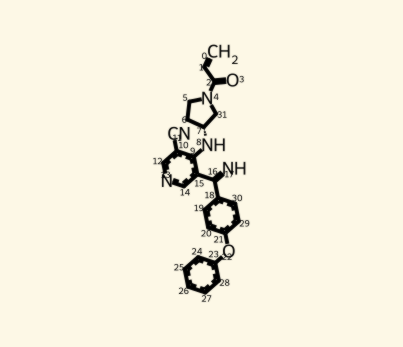 C=CC(=O)N1CC[C@@H](Nc2c(C#N)cncc2C(=N)c2ccc(Oc3ccccc3)cc2)C1